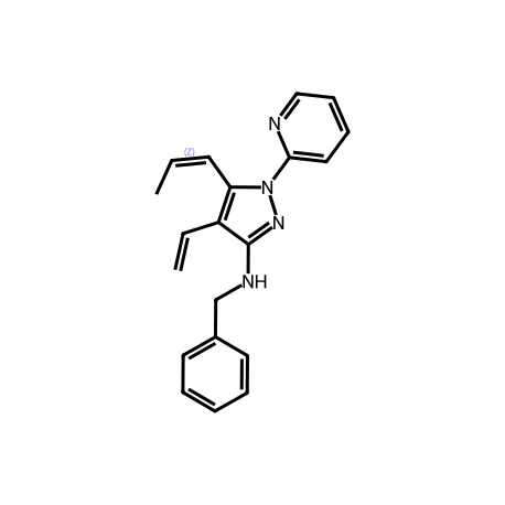 C=Cc1c(NCc2ccccc2)nn(-c2ccccn2)c1/C=C\C